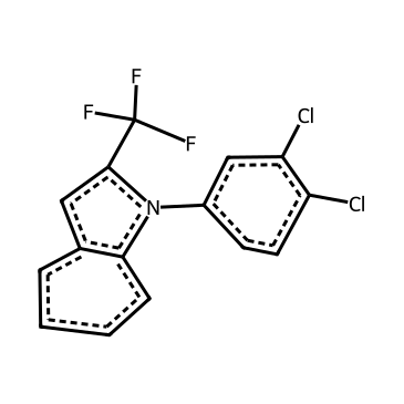 FC(F)(F)c1cc2ccccc2n1-c1ccc(Cl)c(Cl)c1